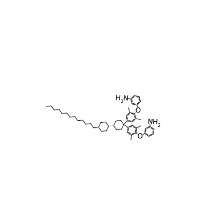 CCCCCCCCCCCCC[C@H]1CC[C@H](C2CCC(c3cc(C)c(Oc4cccc(N)c4)c(C)c3)(c3cc(C)c(Oc4cccc(N)c4)c(C)c3)CC2)CC1